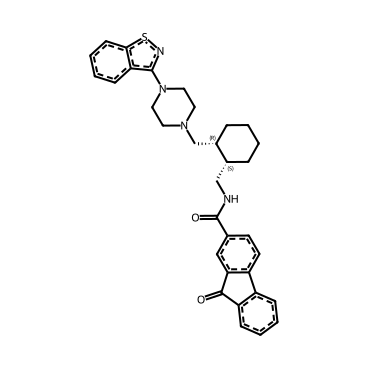 O=C(NC[C@H]1CCCC[C@H]1CN1CCN(c2nsc3ccccc23)CC1)c1ccc2c(c1)C(=O)c1ccccc1-2